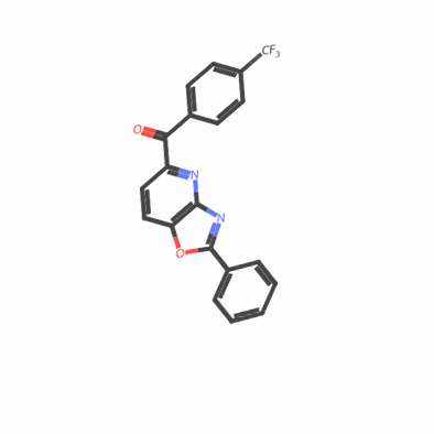 O=C(c1ccc(C(F)(F)F)cc1)c1ccc2oc(-c3ccccc3)nc2n1